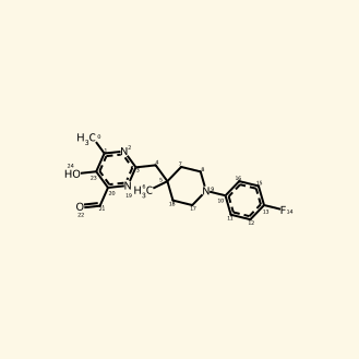 Cc1nc(CC2(C)CCN(c3ccc(F)cc3)CC2)nc([C]=O)c1O